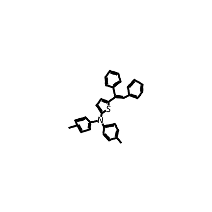 Cc1ccc(N(c2ccc(C)cc2)c2ccc(C(=Cc3ccccc3)c3ccccc3)s2)cc1